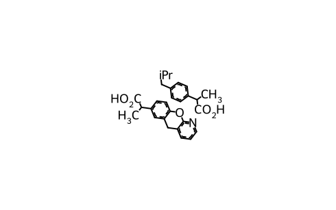 CC(C(=O)O)c1ccc2c(c1)Cc1cccnc1O2.CC(C)Cc1ccc(C(C)C(=O)O)cc1